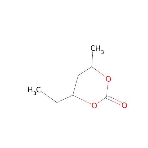 CCC1CC(C)OC(=O)O1